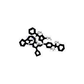 C=C1/C=C\C=C2\c3ccccc3N(/C1=C/C(C=CN(C1=C=C(C(C)(C)c3ccccc3)C=C1C)c1ccc(C(C)(C)c3ccccc3)cc1)C1CCCC1)C2C